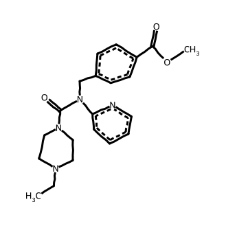 CCN1CCN(C(=O)N(Cc2ccc(C(=O)OC)cc2)c2ccccn2)CC1